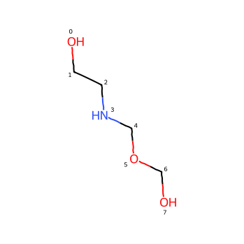 OCCNCOCO